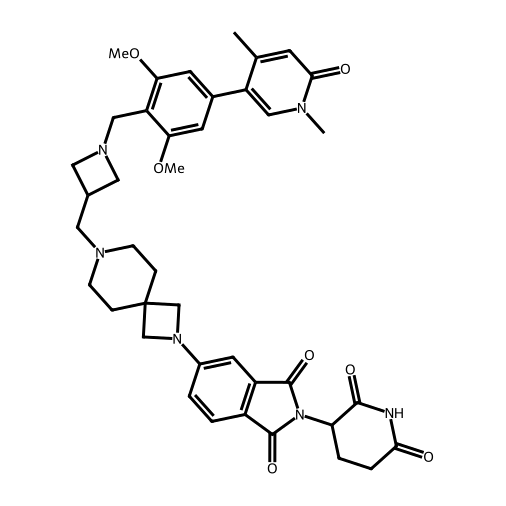 COc1cc(-c2cn(C)c(=O)cc2C)cc(OC)c1CN1CC(CN2CCC3(CC2)CN(c2ccc4c(c2)C(=O)N(C2CCC(=O)NC2=O)C4=O)C3)C1